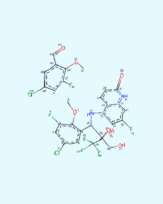 COc1c(F)cc(Cl)cc1C(Nc1cc(F)cc2[nH]c(=O)ccc12)C(O)(CO)C(F)(F)F.COc1c(F)cc(Cl)cc1C=O